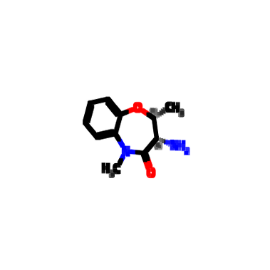 C[C@H]1Oc2ccccc2N(C)C(=O)[C@H]1N